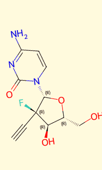 C#C[C@@]1(F)[C@H](O)[C@@H](CO)O[C@H]1n1ccc(N)nc1=O